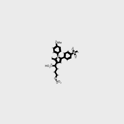 COc1ccc(-n2c(-c3ccc(S(C)(=O)=O)cc3)cc(C(CCCO[N+](=O)[O-])C(=O)O)c2C)cc1